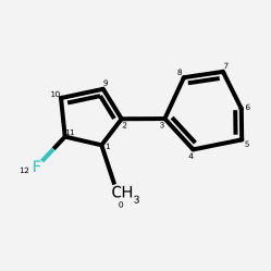 CC1C(c2ccccc2)=C=CC1F